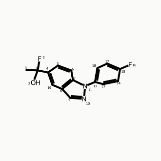 CC(O)(F)c1ccc2c(cnn2-c2ccc(F)cc2)c1